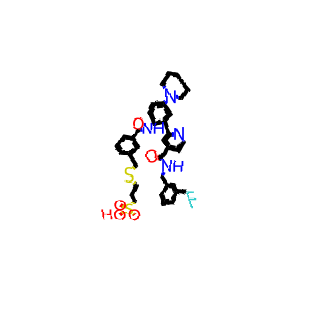 O=C(NCc1cccc(CF)c1)c1ccnc(-c2cc(N3CCCCC3)ccc2NC(=O)c2cccc(CSCCCS(=O)(=O)O)c2)c1